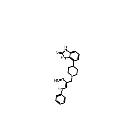 N=N/C(=C\Nc1ccccc1)CN1CCC(c2cccc3[nH]c(=O)[nH]c23)CC1